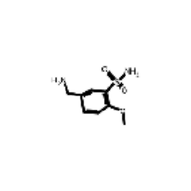 COc1ccc(CN)cc1S(N)(=O)=O